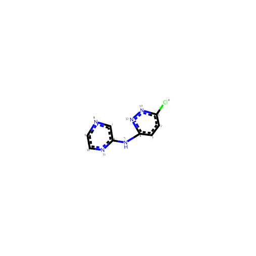 Clc1ccc(Nc2cnccn2)nn1